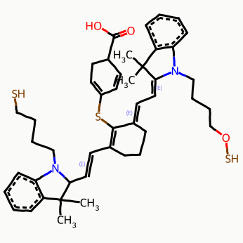 CC1(C)/C(=C\C=C2/CCCC(/C=C/C3N(CCCCS)c4ccccc4C3(C)C)=C2SC2=CCC(C(=O)O)C=C2)N(CCCCOS)c2ccccc21